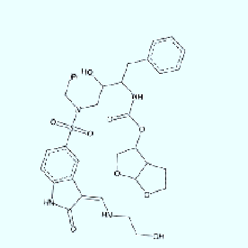 CC(C)CN(CC(O)C(Cc1ccccc1)NC(=O)OC1COC2OCCC12)S(=O)(=O)c1ccc2c(c1)/C(=C/NCCO)C(=O)N2